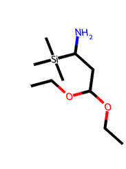 CCO[C](CC(N)[Si](C)(C)C)OCC